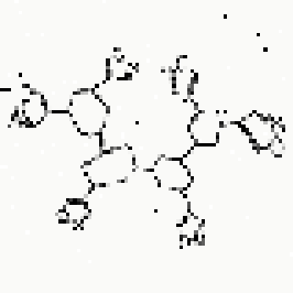 c1nocc1C1CC(c2cnoc2)CC(C2CC(c3cnoc3)CC(C3CC(c4cnoc4)CC(C4CC(c5cnoc5)CC(c5cnoc5)C4)C3)C2)C1